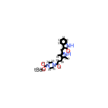 Cc1[nH]c(C=C2C(=O)Nc3ccccc32)c(C)c1CCC(=O)N1CCN(C(=O)OC(C)(C)C)CC1